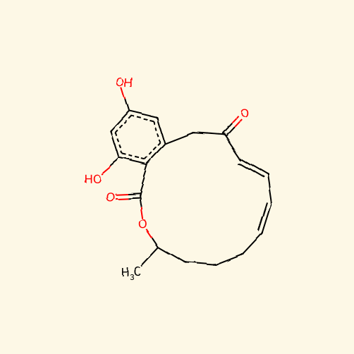 CC1CCC/C=C\C=C\C(=O)Cc2cc(O)cc(O)c2C(=O)O1